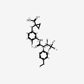 CCc1ccc([C@@H](C(=O)Nc2cc(CC3(C(=O)O)CC3)ccc2F)[C@@H](C)C(F)(F)F)cc1